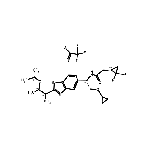 C[C@@H](O[C@H](C)C(F)(F)F)[C@H](N)c1nc2cc([C@@H](COC3CC3)NC(=O)C[C@H]3CC3(F)F)ccc2[nH]1.O=C(O)C(F)(F)F